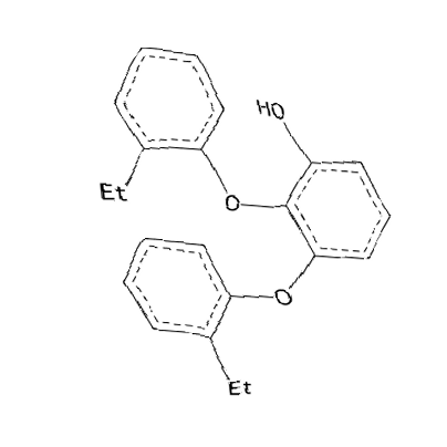 CCc1ccccc1Oc1cccc(O)c1Oc1ccccc1CC